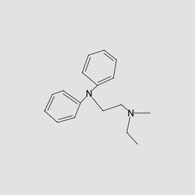 CCN(C)CCN(c1ccccc1)c1ccccc1